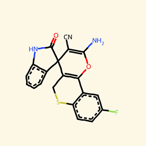 N#CC1=C(N)OC2=C(CSc3ccc(F)cc32)C12C(=O)Nc1ccccc12